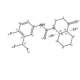 O=C1CCN(C(=O)Nc2ccc(F)c(C(F)F)c2)[C@@H]2CCCC[C@H]12